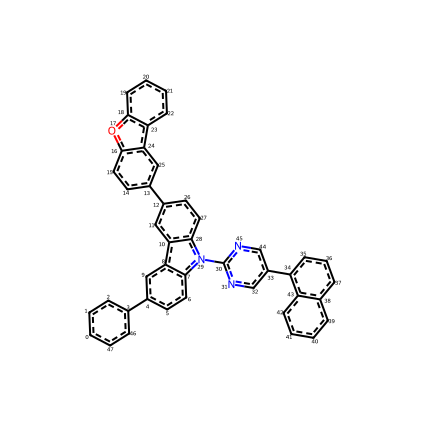 c1ccc(-c2ccc3c(c2)c2cc(-c4ccc5oc6ccccc6c5c4)ccc2n3-c2ncc(-c3cccc4ccccc34)cn2)cc1